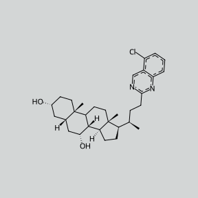 C[C@H](CCc1ncc2c(Cl)cccc2n1)[C@H]1CC[C@H]2[C@H]3C(CC[C@]12C)[C@@]1(C)CC[C@@H](O)C[C@H]1C[C@H]3O